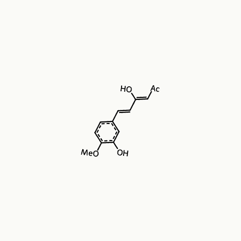 COc1ccc(/C=C/C(O)=C/C(C)=O)cc1O